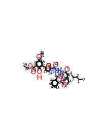 CCCCC[C@@H](C(=O)NCNC(=O)c1ccc(-c2cc(OCC)cc(C(=O)OCC)c2O)o1)[C@@H](CC)N(C=O)OCc1ccccc1